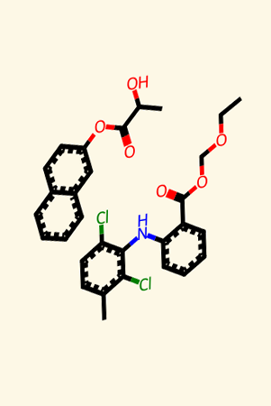 CC(O)C(=O)Oc1ccc2ccccc2c1.CCOCOC(=O)c1ccccc1Nc1c(Cl)ccc(C)c1Cl